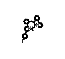 C=C1CC2C(Cc3ccccc3-c3ccc(-c4ccc(F)cc4)c[n+]31)c1ccccc1-c1cccc[n+]12